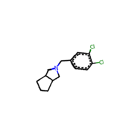 Clc1ccc(CN2CC3CCCC3C2)cc1Cl